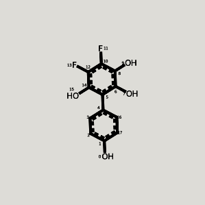 Oc1ccc(-c2c(O)c(O)c(F)c(F)c2O)cc1